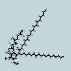 CCCCCCCCCCCCCCCCCCN(C(=O)CCCCCCCCCCCCCCCCC)[C@@H]1O[C@H](CO)[C@@H](O)[C@H](O)[C@@H]1NC(=O)[C@H](C)NC(=O)CCC(=O)O